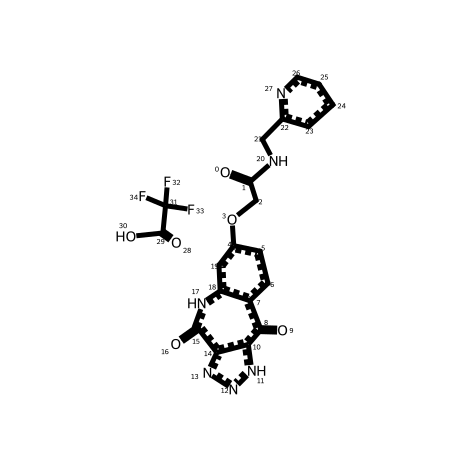 O=C(COc1ccc2c(=O)c3[nH]nnc3c(=O)[nH]c2c1)NCc1ccccn1.O=C(O)C(F)(F)F